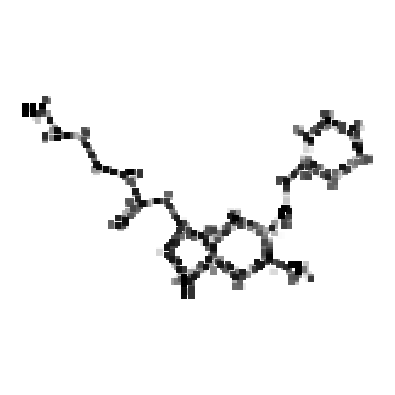 COCCOC(=O)Cc1c[nH]c2cc(C)c(OCc3ccccc3)cc12